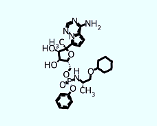 C[C@@H](COC1CCCCC1)NP(=O)(OC[C@H]1O[C@@](C)(c2ccc3c(N)ncnn23)[C@H](O)[C@@H]1O)Oc1ccccc1